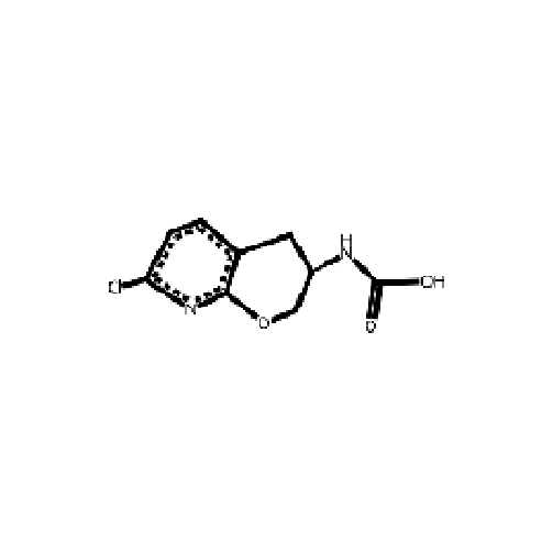 O=C(O)N[C@H]1COc2nc(Cl)ccc2C1